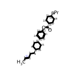 C/C=C/CC[C@H]1CC[C@H](c2ccc(OC(=O)[C@H]3CC[C@H](CCC)CC3)cc2)CC1